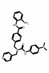 CN(C)c1ccc(NC(=O)N(Cc2ccncc2)Cc2ccc(C(=O)Nc3ccccc3N)cc2)cc1